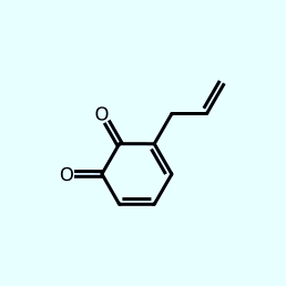 C=CCC1=CC=CC(=O)C1=O